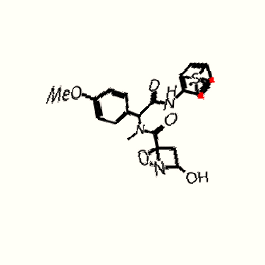 COc1ccc(C(C(=O)Nc2ccc3cc2S3(C)(C)(C)C)N(C)C(=O)C23CC(O)[N@@]2O3)cc1